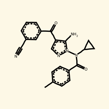 Cc1ccc(C(=O)N(C2CC2)n2ncc(C(=O)c3cccc(C#N)c3)c2N)cc1